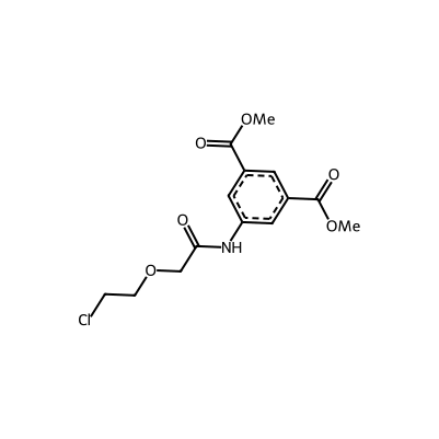 COC(=O)c1cc(NC(=O)COCCCl)cc(C(=O)OC)c1